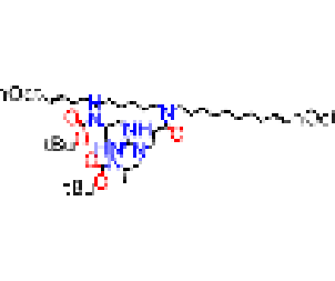 CCCCCCCCC=CCCCCCCCCN(CCCCCCCCC=CCCCCCCCC)C(=O)CCN(CC(C)NC(=O)OC(C)(C)C)C(=N)NCC(C)NC(=O)OC(C)(C)C